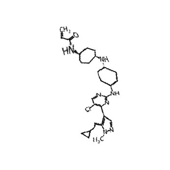 C=CC(=O)N[C@H]1CC[C@@H](N[C@H]2CC[C@H](Nc3ncc(Cl)c(-c4cnn(C)c4CC4CC4)n3)CC2)CC1